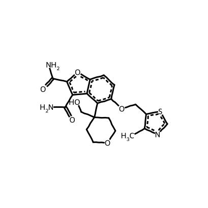 Cc1ncsc1COc1ccc2oc(C(N)=O)c(C(N)=O)c2c1C1(CO)CCOCC1